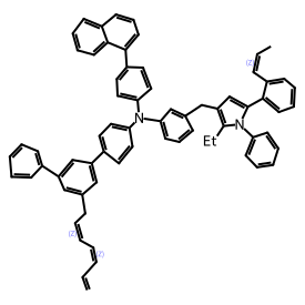 C=C/C=C\C=C/Cc1cc(-c2ccccc2)cc(-c2ccc(N(c3ccc(-c4cccc5ccccc45)cc3)c3cccc(Cc4cc(-c5ccccc5/C=C\C)n(-c5ccccc5)c4CC)c3)cc2)c1